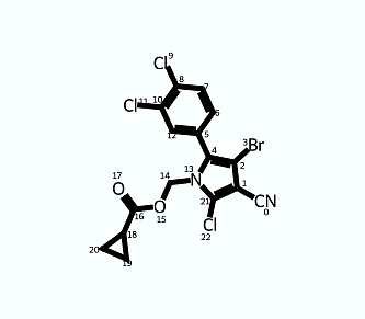 N#Cc1c(Br)c(-c2ccc(Cl)c(Cl)c2)n(COC(=O)C2CC2)c1Cl